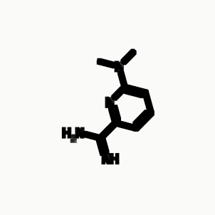 CN(C)c1cccc(C(=N)N)n1